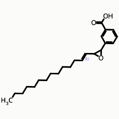 CCCCCCCCCCCC/C=C/C1OC1c1cccc(C(=O)O)c1